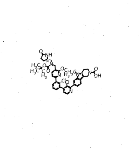 COc1nc(-c2cccc(-c3ccnc(-c4ccc5c6c(n(C)c5c4)CCN(C(=O)O)C6)c3Cl)c2Cl)ccc1CN(C[C@@H]1CCC(=O)N1)C(=O)OC(C)(C)C